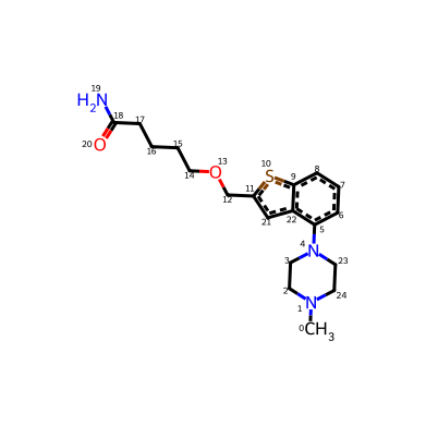 CN1CCN(c2cccc3sc(COCCCCC(N)=O)cc23)CC1